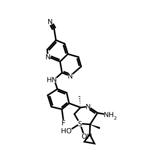 C[C@@]1(c2cc(Nc3nccc4cc(C#N)cnc34)ccc2F)CS(O)(O)[C@@](C)(C2CC2)C(N)=N1